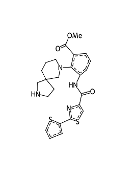 COC(=O)c1cccc(NC(=O)c2csc(-c3cccs3)n2)c1N1CCCC2(CCNC2)C1